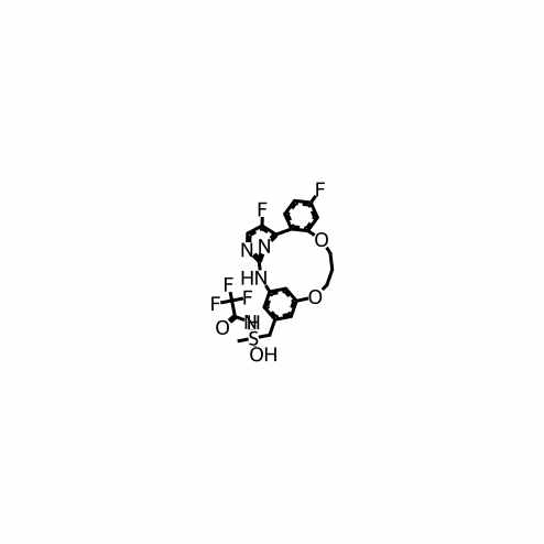 C[SH](O)(Cc1cc2cc(c1)OCCCOc1cc(F)ccc1-c1nc(ncc1F)N2)=NC(=O)C(F)(F)F